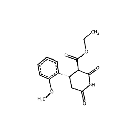 CCOC(=O)[C@H]1C(=O)NC(=O)C[C@@H]1c1ccccc1OC